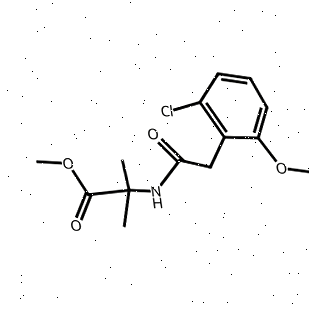 COC(=O)C(C)(C)NC(=O)Cc1c(Cl)cccc1OC